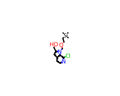 C[Si](C)(C)CCOCn1c(CO)cc2ccnc(Cl)c21